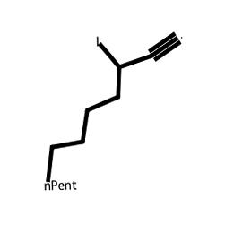 [C]#CC(I)CCCCCCCCC